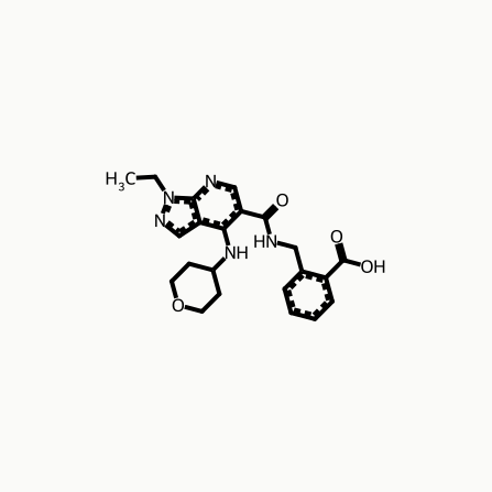 CCn1ncc2c(NC3CCOCC3)c(C(=O)NCc3ccccc3C(=O)O)cnc21